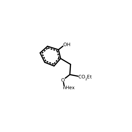 CCCCCCOC(Cc1ccccc1O)C(=O)OCC